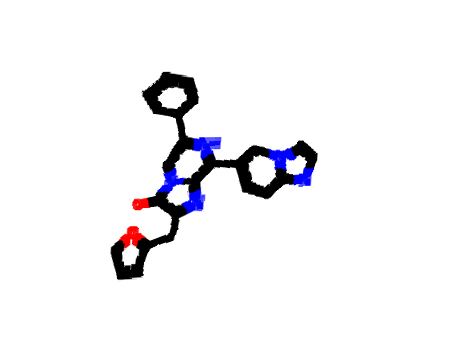 O=c1c(Cc2ccco2)nc2c(-c3ccc4nccn4c3)[nH]c(-c3ccccc3)cn1-2